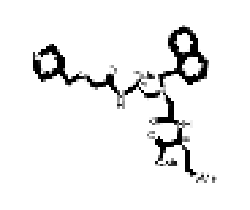 CC[C@H](C)[C@@H](CN(CC(=O)N[C@@H](CCSC)C(=O)OC)Cc1cccc2ccccc12)NC(=O)CSCc1ccncc1